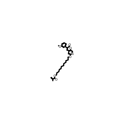 C=C(C)C(=O)OCCCCCCCCCCCCOc1cc2cc(-c3cccc(OC)c3)c(=O)oc2cn1